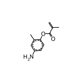 C=C(C)C(=O)Oc1ccc(N)cc1C